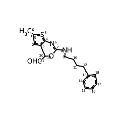 Cc1cc2c(s1)N=C(NCCCCc1ccccc1)OC2C=O